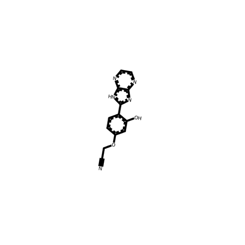 N#CCOc1ccc(-c2nc3nccnc3[nH]2)c(O)c1